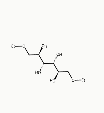 CCOC[C@@H](O)[C@@H](O)[C@H](O)[C@H](O)COCC